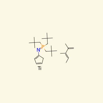 C=C(C)C(C)=CC.CC(C)(C)CP(CC(C)(C)C)(CC(C)(C)C)=NC1=CC=CC1.[Ti]